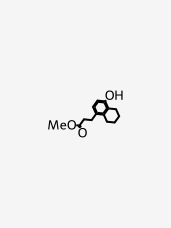 COC(=O)CCc1ccc(O)c2c1CCCC2